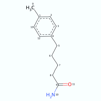 Cc1ccc(CCCCC(N)=O)cc1